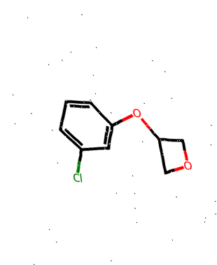 Clc1cc[c]c(OC2COC2)c1